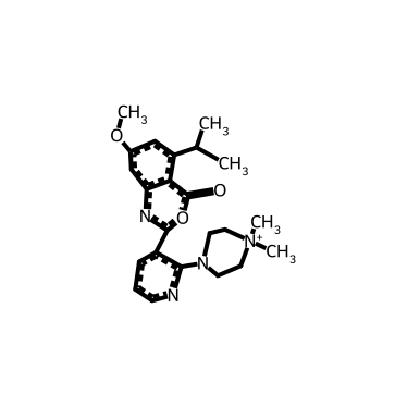 COc1cc(C(C)C)c2c(=O)oc(-c3cccnc3N3CC[N+](C)(C)CC3)nc2c1